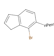 CCCCCc1ccc2c(c1Br)CC=C2